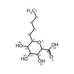 CCCCCC1OC(C(=O)O)C(O)C(O)C1O